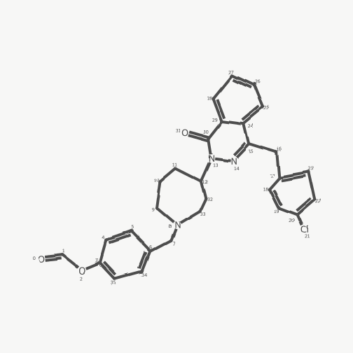 O=COc1ccc(CN2CCCC(n3nc(Cc4ccc(Cl)cc4)c4ccccc4c3=O)CC2)cc1